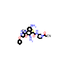 Cc1nc(Oc2ccccc2)ccc1C1(N)C(=O)C(N)c2c(C(=O)NC3CCCN(C(=O)CC#N)C3)sc3c(N)ccc1c23